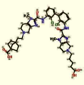 Cn1c(C(=O)Nc2cccc(-c3cccc(NC(=O)c4nc5c(n4C)CCN(CCC46CCC(C(=O)O)(CC4)C6)C5)c3Cl)c2Cl)nc2c1CCN(CCCCC(=O)O)C2